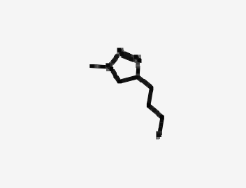 CN1CC(CCCF)N=N1